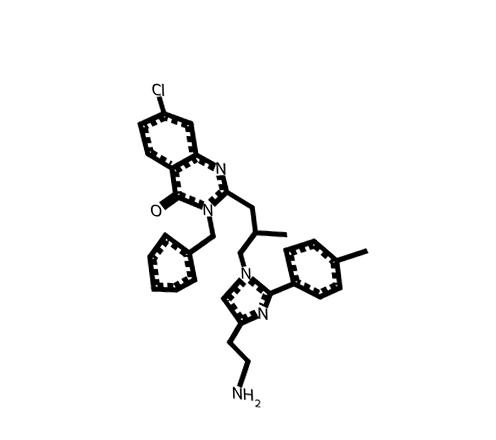 Cc1ccc(-c2nc(CCN)cn2CC(C)Cc2nc3cc(Cl)ccc3c(=O)n2Cc2ccccc2)cc1